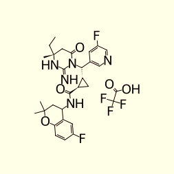 CC[C@]1(C)CC(=O)N(C(c2cncc(F)c2)[C@@H]2C[C@H]2C(=O)NC2CC(C)(C)Oc3ccc(F)cc32)C(=N)N1.O=C(O)C(F)(F)F